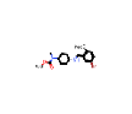 COc1ccc(Br)cc1CN[C@H]1CC[C@H](N(C)C(=O)OC(C)(C)C)CC1